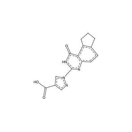 O=C(O)c1cnn(-c2nc3ccc4c(c3c(=O)[nH]2)CCC4)c1